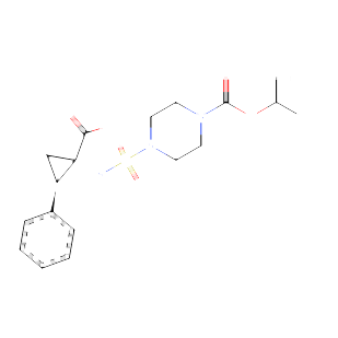 CC(C)OC(=O)N1CCN(S(=O)(=O)N[C@@]2(C(=O)O)C[C@@H]2c2ccccc2)CC1